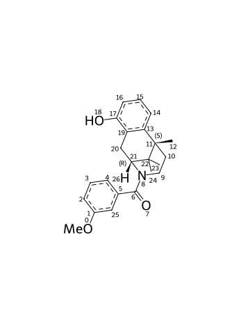 COc1cccc(C(=O)N2CC[C@@]3(C)c4cccc(O)c4C[C@@H]2C3(C)C)c1